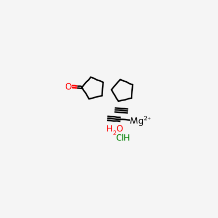 C#C.C#[C][Mg+2].C1CCCC1.Cl.O.O=C1CCCC1